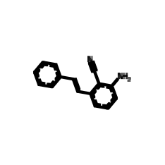 N#Cc1c(N)cccc1C=Cc1ccccc1